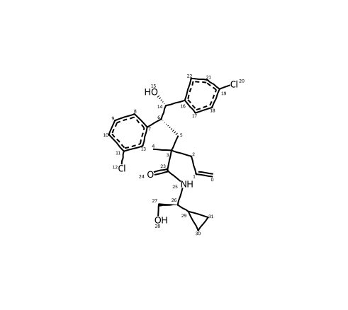 C=CCC(C)(C[C@H](c1cccc(Cl)c1)[C@H](O)c1ccc(Cl)cc1)C(=O)N[C@H](CO)C1CC1